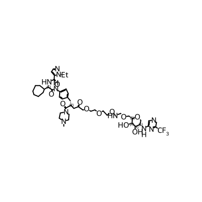 CCn1nccc1C(=O)N[C@H](C(=O)Nc1ccc(C[C@H](CC(=O)COCCOCCONCOC[C@H]2OC[C@H](Nc3cncc(C(F)(F)F)n3)[C@@H](O)[C@H]2O)C(=O)N2CCN(C)CC2)cc1)C1CCCCCC1